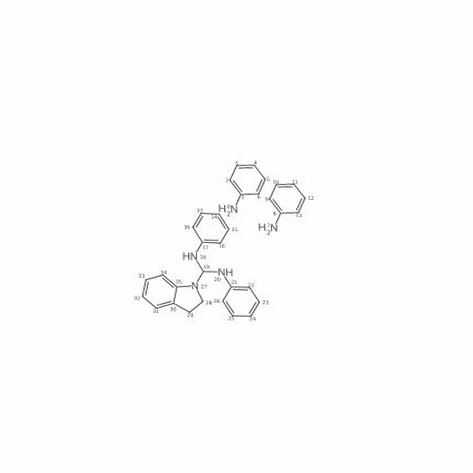 Nc1ccccc1.Nc1ccccc1.c1ccc(NC(Nc2ccccc2)N2CCc3ccccc32)cc1